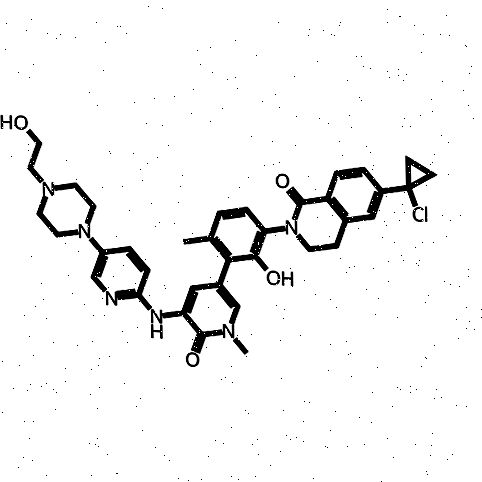 Cc1ccc(N2CCc3cc(C4(Cl)CC4)ccc3C2=O)c(O)c1-c1cc(Nc2ccc(N3CCN(CCO)CC3)cn2)c(=O)n(C)c1